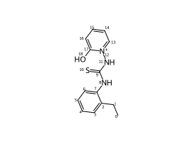 CCc1ccccc1NC(=S)N[n+]1ccccc1O